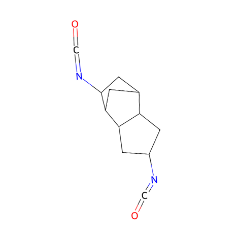 O=C=NC1CC2C3CC(N=C=O)C(C3)C2C1